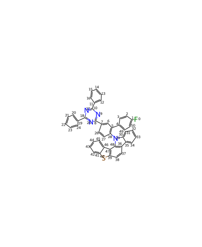 Fc1ccc(-c2cc(-c3nc(-c4ccccc4)nc(-c4ccccc4)n3)ccc2-n2c3ccccc3c3ccc4sc5ccccc5c4c32)cc1